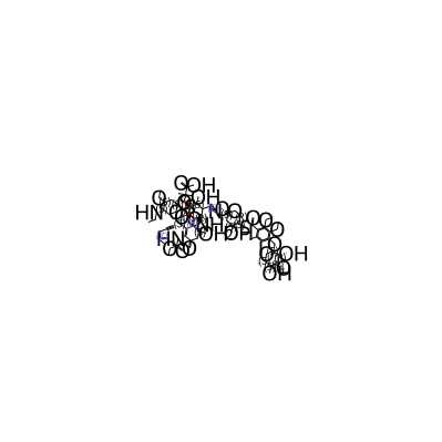 C/C=C\C#C[C@H](O[C@@H]1O[C@H](C)C(/C=N/O[C@H]2C[C@H](O)[C@H](SC(=O)c3c(C)c(I)c(O[C@@H]4O[C@@H](C)[C@H](O)[C@@H](OC)[C@H]4O)c(OC)c3OC)[C@@H](C)O2)[C@H](O)[C@H]1O[C@H]1C[C@H](OC)[C@@H](NCC)CO1)C1=C(NC(=O)OC)C(=O)C[C@](N)(O)/C1=C/CSSC(C)(C)C(=O)O